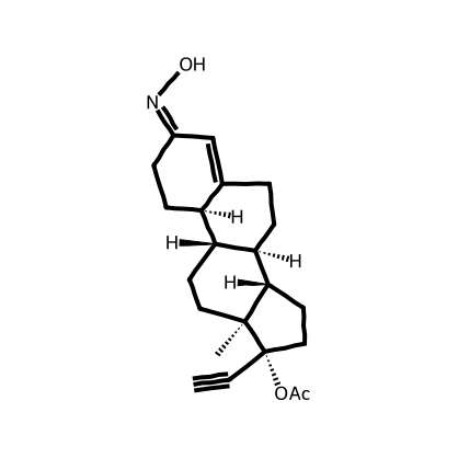 C#C[C@]1(OC(C)=O)CC[C@H]2[C@@H]3CCC4=CC(=NO)CC[C@@H]4[C@H]3CC[C@@]21C